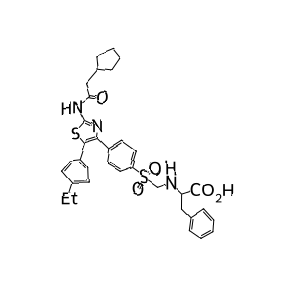 CCc1ccc(-c2sc(NC(=O)CC3CCCC3)nc2-c2ccc(S(=O)(=O)CNC(Cc3ccccc3)C(=O)O)cc2)cc1